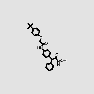 CC(C)(C)c1ccc(OCC(=O)Nc2ccc(C(C(=O)NO)c3ccccc3)cc2)cc1